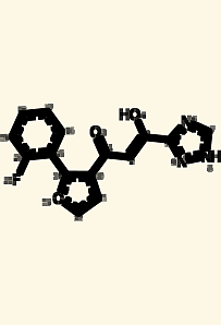 O=C(C=C(O)c1nc[nH]n1)c1ccoc1-c1ccccc1F